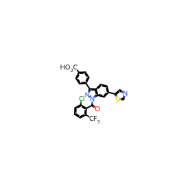 O=C(O)c1ccc(-c2nn(C(=O)c3c(Cl)cccc3C(F)(F)F)c3cc(-c4cncs4)ccc23)cc1